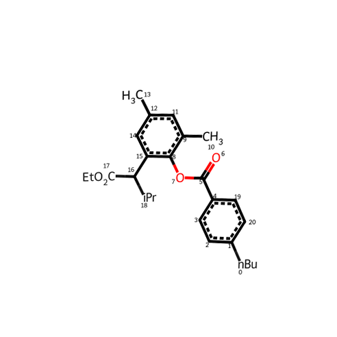 CCCCc1ccc(C(=O)Oc2c(C)cc(C)cc2C(C(=O)OCC)C(C)C)cc1